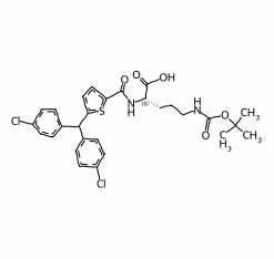 CC(C)(C)OC(=O)NCCC[C@H](NC(=O)c1ccc(C(c2ccc(Cl)cc2)c2ccc(Cl)cc2)s1)C(=O)O